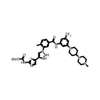 COC(=O)Nc1ncc(C2=CN(c3cc(C(=O)Nc4cc(N5CCC(N6CCN(C)CC6)CC5)cc(C(F)(F)F)c4)ccc3C)NN2)s1